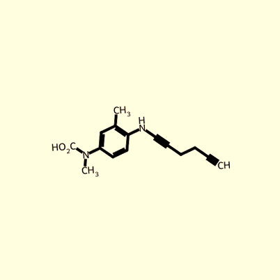 C#CCCC#CNc1ccc(N(C)C(=O)O)cc1C